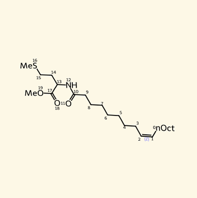 CCCCCCCC/C=C\CCCCCCCC(=O)NC(CCSC)C(=O)OC